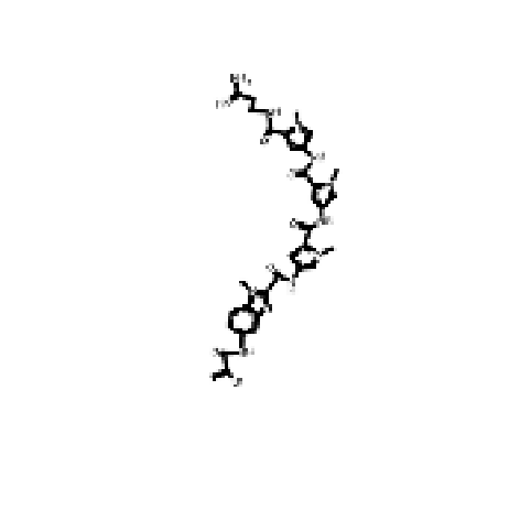 C=C(Br)C(=O)Nc1ccc2c(c1)nc(C(=O)Nc1cc(C(=O)Nc3cc(C(=O)Nc4cc(C(=O)NCCC(=N)N)n(C)c4)n(C)c3)n(C)c1)n2C